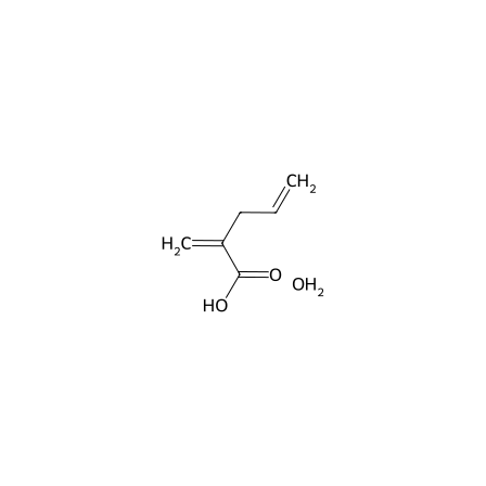 C=CCC(=C)C(=O)O.O